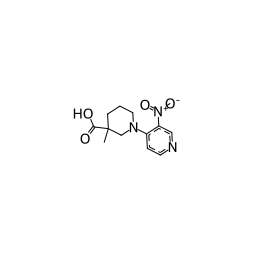 CC1(C(=O)O)CCCN(c2ccncc2[N+](=O)[O-])C1